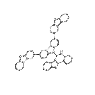 c1ccc2c(c1)NC(n1c3ccc(-c4ccc5oc6ccccc6c5c4)cc3c3cc(-c4ccc5oc6ccccc6c5c4)ccc31)n1c-2nc2ccccc21